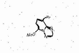 COc1ccc(C(C)C)c2ncnn12